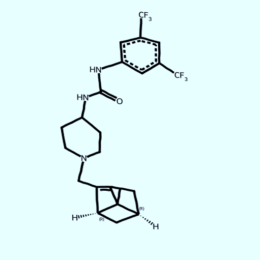 CC1(C)[C@H]2CC=C(CN3CCC(NC(=O)Nc4cc(C(F)(F)F)cc(C(F)(F)F)c4)CC3)[C@@H]1C2